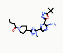 CCCC(=O)N1CCC(c2nc(-c3cnc(N)c(-c4nnc(C(C)(C)C)o4)n3)n(C)n2)CC1